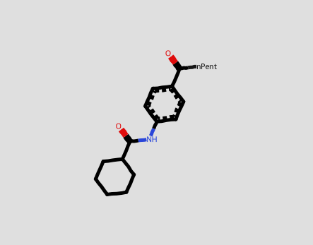 CCCCCC(=O)c1ccc(NC(=O)C2CCCCC2)cc1